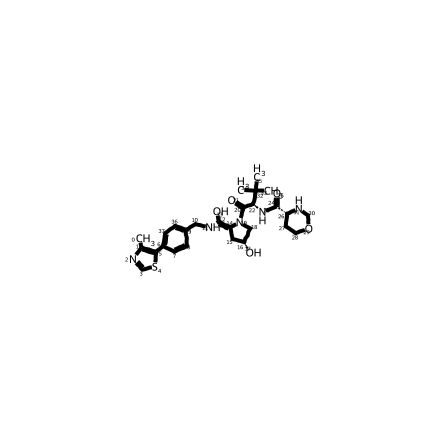 Cc1ncsc1-c1ccc(CN/C(O)=C2\C[C@@H](O)CN2C(=O)[C@@H](NC(=O)[C@H]2CCOCN2)C(C)(C)C)cc1